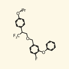 CC(C)Oc1ccc(C(COCc2ccc(F)c(Oc3ccccc3)c2)C(F)(F)F)cc1